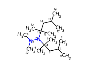 CC(C)CC(C)(C)N(N(C)C)C(C)(C)CC(C)C